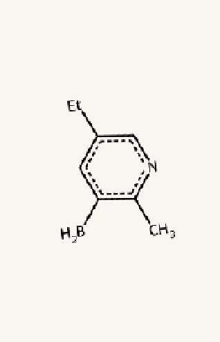 Bc1cc(CC)cnc1C